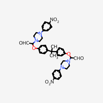 CC(C)(c1ccc(OC(C=O)N2CCN(c3ccc([N+](=O)[O-])cc3)CC2)cc1)c1ccc(OC(C=O)N2CCN(c3ccc([N+](=O)[O-])cc3)CC2)cc1